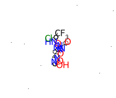 O=C(Cn1c2c(c(=O)n3nc(C4=CCOCC4)nc13)C1(CC2)CCN(C(=O)c2ncccc2O)C2CC21)Nc1ccc(C(F)(F)F)cc1Cl